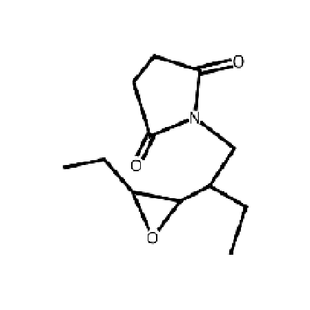 CCC(CN1C(=O)CCC1=O)C1OC1CC